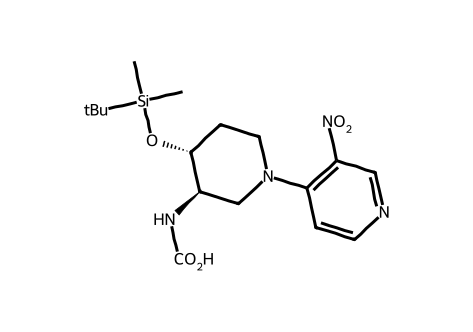 CC(C)(C)[Si](C)(C)O[C@@H]1CCN(c2ccncc2[N+](=O)[O-])C[C@H]1NC(=O)O